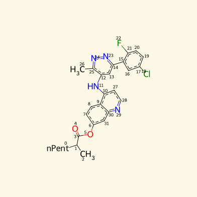 CCCCCC(C)C(=O)Oc1ccc2c(Nc3cc(-c4cc(Cl)ccc4F)nnc3C)ccnc2c1